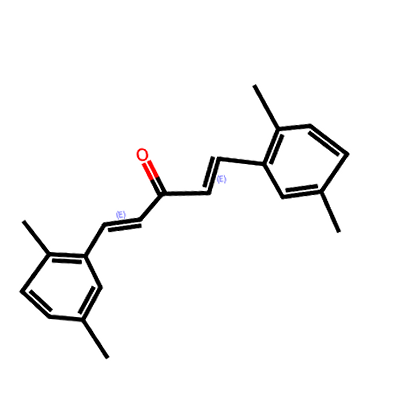 Cc1ccc(C)c(/C=C/C(=O)/C=C/c2cc(C)ccc2C)c1